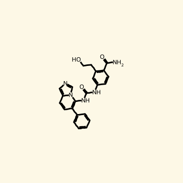 NC(=O)c1ccc(NC(=O)Nc2c(-c3ccccc3)ccc3cncn23)cc1CCO